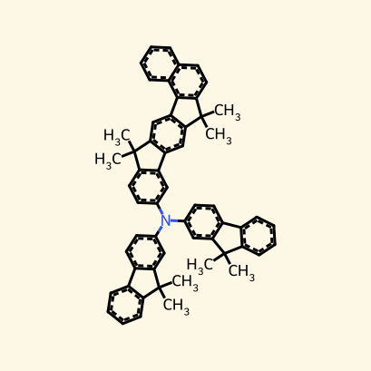 CC1(C)c2ccccc2-c2ccc(N(c3ccc4c(c3)-c3cc5c(cc3C4(C)C)-c3c(ccc4ccccc34)C5(C)C)c3ccc4c(c3)C(C)(C)c3ccccc3-4)cc21